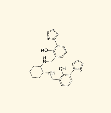 Oc1c(CNC2CCCC[C@H]2NCc2cccc(-c3cccs3)c2O)cccc1-c1cccs1